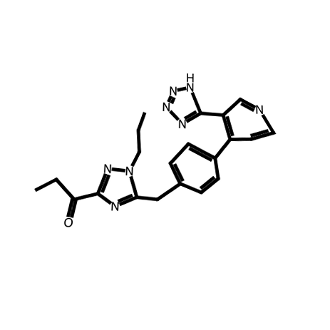 CCCn1nc(C(=O)CC)nc1Cc1ccc(-c2ccncc2-c2nnn[nH]2)cc1